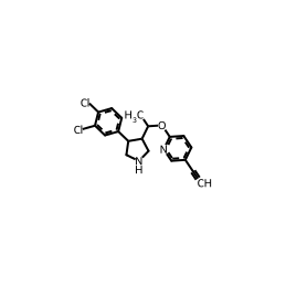 C#Cc1ccc(OC(C)C2CNCC2c2ccc(Cl)c(Cl)c2)nc1